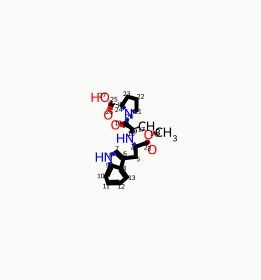 COC(=O)C(Cc1c[nH]c2ccccc12)N[C@@H](C)C(=O)N1CCC[C@H]1C(=O)O